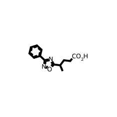 CC(CCC(=O)O)c1nc(-c2ccccc2)no1